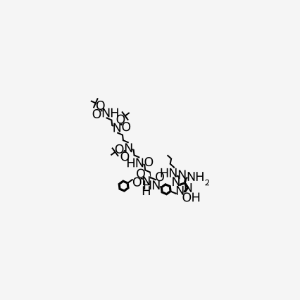 CCCCNc1nc(N)c2nc(O)n(Cc3ccc(NC(=O)[C@H](CCC(=O)NCCCN(CCCCN(CCCNC(=O)OC(C)(C)C)C(=O)OC(C)(C)C)C(=O)OC(C)(C)C)NC(=O)OCc4ccccc4)cc3)c2n1